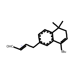 CC(C)(C)C1=CCC(C)(C)c2ccc(C/C=C/C=O)cc21